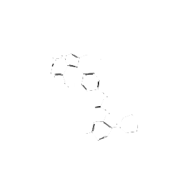 Nc1ncnn2cc(C(=O)O)c(-c3ccc(NC(=O)Nc4cc(C(F)(F)F)ccc4N4CCOCC4)cc3)c12